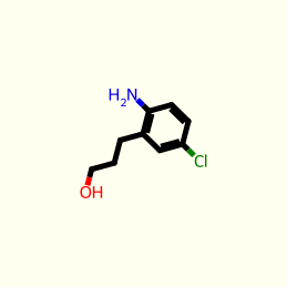 Nc1ccc(Cl)cc1CCCO